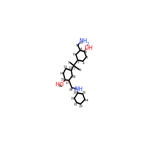 CC(C)(C1CCC(O)C(CN)C1)C1CCC(O)C(CNC2CCCCC2)C1